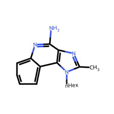 CCCCCCn1c(C)nc2c(N)nc3ccccc3c21